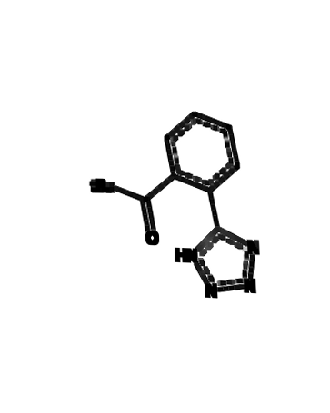 CC(C)(C)C(=O)c1ccccc1-c1nnn[nH]1